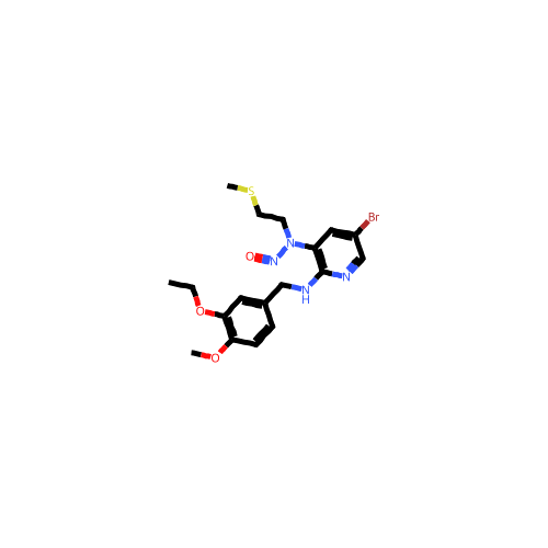 CCOc1cc(CNc2ncc(Br)cc2N(CCSC)N=O)ccc1OC